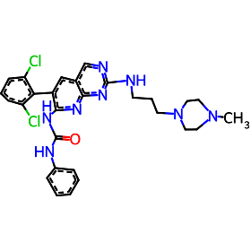 CN1CCN(CCCNc2ncc3cc(-c4c(Cl)cccc4Cl)c(NC(=O)Nc4ccccc4)nc3n2)CC1